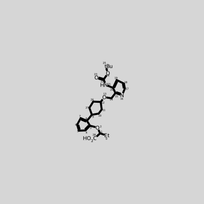 CCC(Oc1ccccc1C1CCC(OCc2ncccc2NC(=O)OC(C)(C)C)CC1)C(=O)O